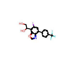 OCC(O)c1c(I)cc(-c2ccc(C(F)(F)F)cc2)c2ncoc12